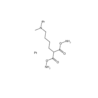 CC(C)N(C)CCCCC(C(=O)ON)C(=O)ON.[Pt]